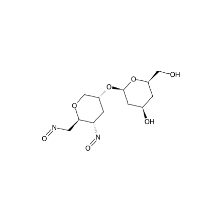 O=NC[C@H]1OC[C@H](O[C@@H]2C[C@H](O)C[C@H](CO)O2)C[C@@H]1N=O